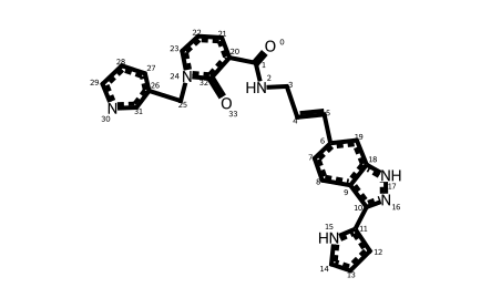 O=C(NC/C=C/c1ccc2c(-c3ccc[nH]3)n[nH]c2c1)c1cccn(Cc2cccnc2)c1=O